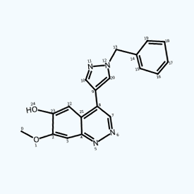 COc1cc2nncc(-c3cnn(Cc4ccccc4)c3)c2cc1O